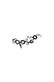 Cc1ccc(-n2ccc(C(=O)Nc3ccc(C4(C#N)CCC5(CC4)OCCO5)nc3)c2)c(C)c1